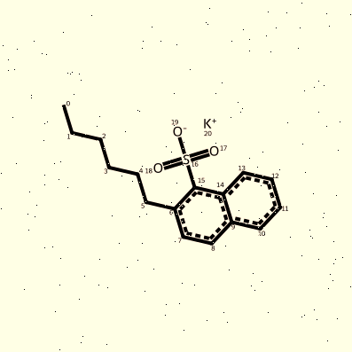 CCCCCCc1ccc2ccccc2c1S(=O)(=O)[O-].[K+]